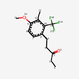 CCC(=O)CCc1ccc(OC)c(C)c1C(F)(F)F